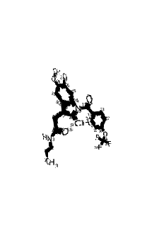 CCCNC(=O)Cc1c(C)n(C(=O)c2ccc(OC(F)(F)F)cc2)c2cc(Cl)c(OC)cc12